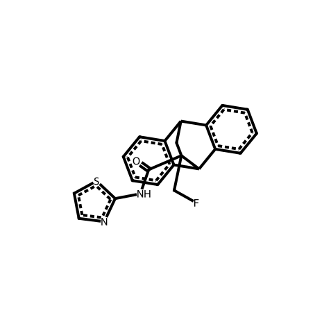 O=C(Nc1nccs1)C1(CF)CC2c3ccccc3C1c1ccccc12